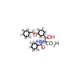 O=C(N[C@H](C(=O)O)C(O)c1cccc(OCc2ccccc2)c1)c1ccccc1